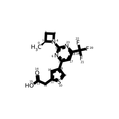 C[C@H]1CCN1c1nc(-c2csc(CC(=O)O)c2)cc(C(F)(F)F)n1